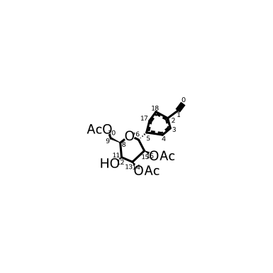 C#Cc1ccc([C@H]2O[C@H](COC(C)=O)[C@@H](O)[C@H](OC(C)=O)[C@@H]2OC(C)=O)cc1